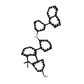 CC(C)(C)c1ccc2c(c1)C(C)(C)c1cccc(-c3ccccc3Nc3cccc(-c4cccc5ccccc45)c3)c1-2